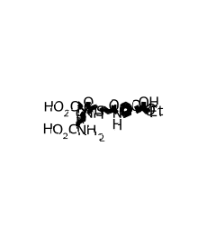 CCOCC(O)COc1ccc(NC(=O)CCSCC(NC(=O)CCC(N)C(=O)O)C(=O)NCC(=O)O)cc1